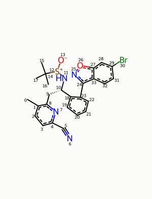 Cc1ccc(C#N)nc1C[C@H](N[S+]([O-])C(C)(C)C)c1ccccc1-c1noc2cc(Br)ccc12